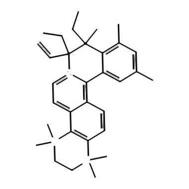 C=CC1(CC)[n+]2ccc3c4c(ccc3c2-c2cc(C)cc(C)c2C1(C)CC)[Si](C)(C)CC[Si]4(C)C